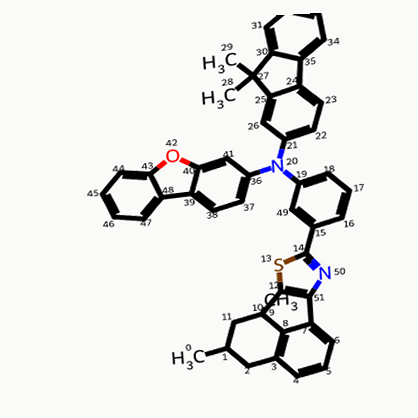 CC1Cc2cccc3c2C(C)(C1)c1sc(-c2cccc(N(c4ccc5c(c4)C(C)(C)c4ccccc4-5)c4ccc5c(c4)oc4ccccc45)c2)nc1-3